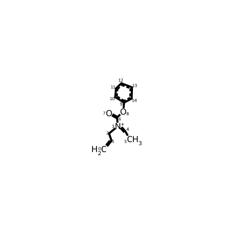 C=CC[N+](=CC)C(=O)Oc1ccccc1